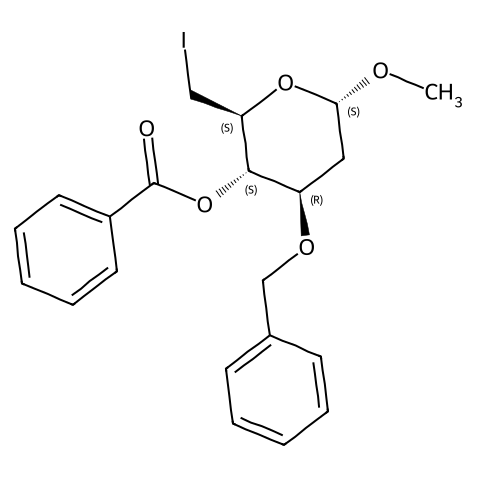 CO[C@@H]1C[C@@H](OCc2ccccc2)[C@H](OC(=O)c2ccccc2)[C@@H](CI)O1